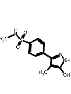 CNS(=O)(=O)c1ccc(-c2n[nH]c(O)c2C)cc1